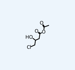 CC(=O)OC(=O)CC(O)CCl